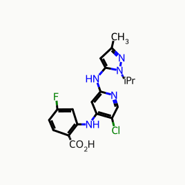 Cc1cc(Nc2cc(Nc3cc(F)ccc3C(=O)O)c(Cl)cn2)n(C(C)C)n1